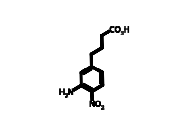 Nc1cc(CCCC(=O)O)ccc1[N+](=O)[O-]